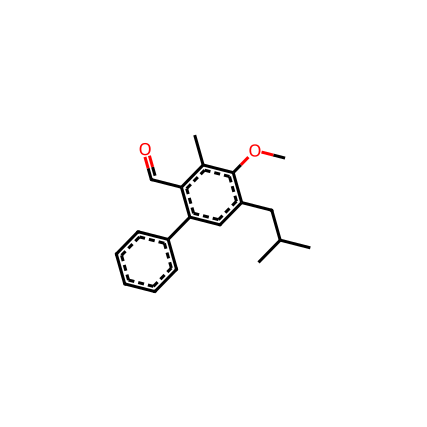 COc1c(CC(C)C)cc(-c2ccccc2)c(C=O)c1C